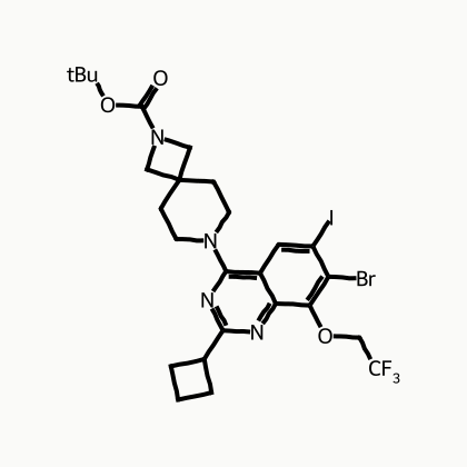 CC(C)(C)OC(=O)N1CC2(CCN(c3nc(C4CCC4)nc4c(OCC(F)(F)F)c(Br)c(I)cc34)CC2)C1